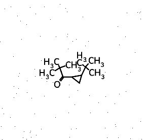 CC(C)(C)C(=O)C1CC1C(C)(C)C